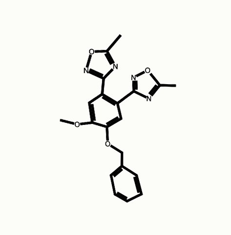 COc1cc(-c2noc(C)n2)c(-c2noc(C)n2)cc1OCc1ccccc1